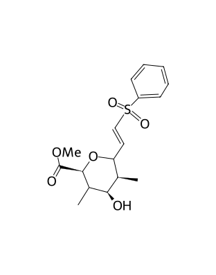 COC(=O)[C@H]1OC(/C=C/S(=O)(=O)c2ccccc2)[C@@H](C)[C@@H](O)C1C